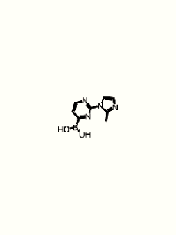 Cc1nccn1-c1nccc(B(O)O)n1